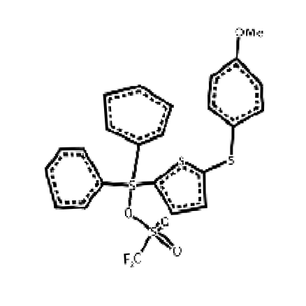 COc1ccc(Sc2ccc(S(OS(=O)(=O)C(F)(F)F)(c3ccccc3)c3ccccc3)s2)cc1